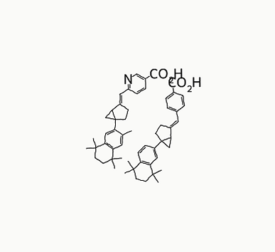 CC1(C)CCC(C)(C)c2cc(C34CC/C(=C\c5ccc(C(=O)O)cc5)C3C4)ccc21.Cc1cc2c(cc1C13CC/C(=C\c4ccc(C(=O)O)cn4)C1C3)C(C)(C)CCC2(C)C